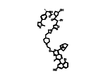 CCc1cccc2cc(O)cc(-c3ncc4c(N5CC6CCC(C5)N6)nc(OCCN5CCC(CC6CN(c7cc([C@H](C(=O)N8C[C@H](O)C[C@H]8C(=O)N[C@@H](C)c8ccc(-c9ccnn9C)cc8)C(C)C)on7)C6)CC5)nc4c3F)c12